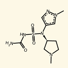 CN1CC[C@H](N(c2cnn(C)c2)S(=O)(=O)NC(N)=O)C1